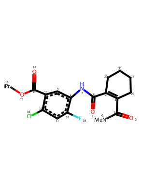 CNC(=O)C1=C(C(=O)Nc2cc(C(=O)OC(C)C)c(Cl)cc2F)CCCC1